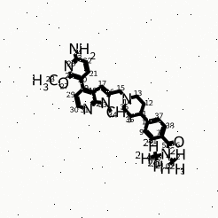 [2H]C([2H])([2H])N(C(=O)c1ccc(C2CCN(Cc3cc4c(-c5ccc(N)nc5OC)ccnc4n3C)CC2)cc1)C([2H])([2H])[2H]